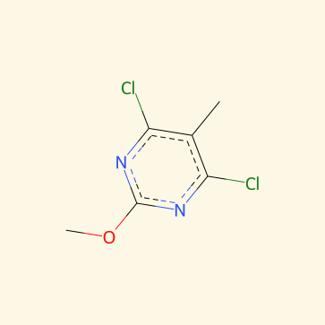 COc1nc(Cl)c(C)c(Cl)n1